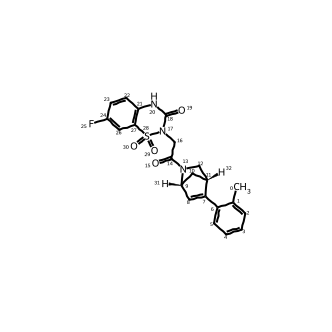 Cc1ccccc1C1=C[C@H]2C[C@@H]1CN2C(=O)CN1C(=O)Nc2ccc(F)cc2S1(=O)=O